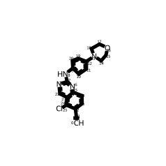 C#Cc1ccc2nc(Nc3ccc(N4CCOCC4)cc3)ncc2c1Cl